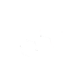 CO[C@H](O)C(=O)c1ccccc1